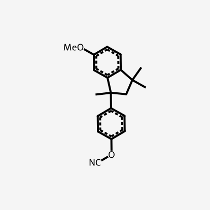 COc1ccc2c(c1)C(C)(c1ccc(OC#N)cc1)CC2(C)C